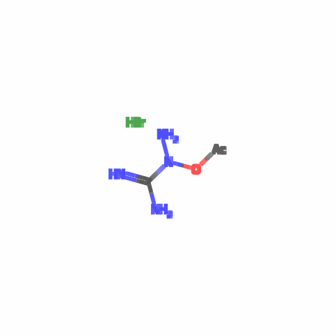 Br.CC(=O)ON(N)C(=N)N